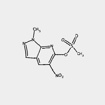 Cn1ncc2cc([N+](=O)[O-])c(OS(C)(=O)=O)nc21